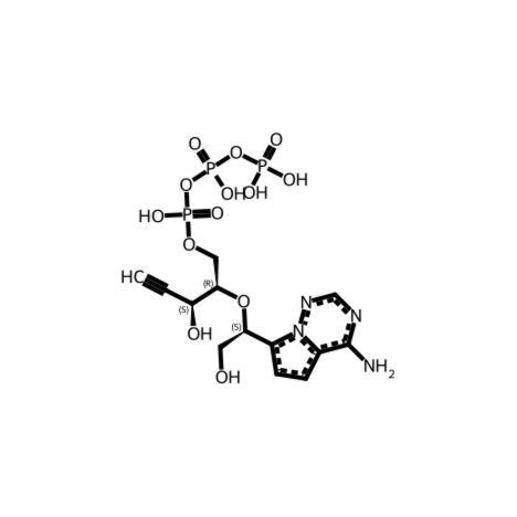 C#C[C@H](O)[C@@H](COP(=O)(O)OP(=O)(O)OP(=O)(O)O)O[C@H](CO)c1ccc2c(N)ncnn12